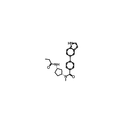 CCC(=O)N[C@H]1CC[C@@H](N(C)C(=O)c2ccc(-c3ccc4[nH]ccc4c3)cc2)C1